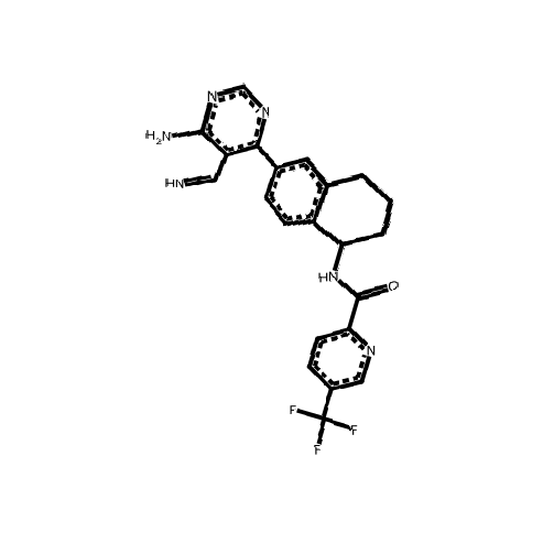 N=Cc1c(N)ncnc1-c1ccc2c(c1)CCCC2NC(=O)c1ccc(C(F)(F)F)cn1